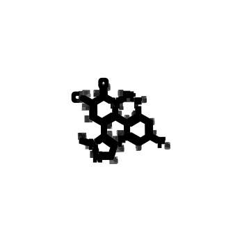 CCn1c(-c2c(F)cc(F)cc2F)c(-c2ccnn2C)cc(Cl)c1=O